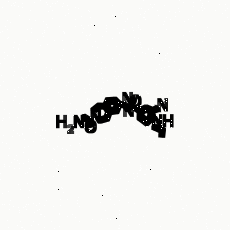 CCCNc1ccc(-c2nc(-c3ccc4c(c3)CCN(C(=O)CN)CC4)no2)cc1C#N